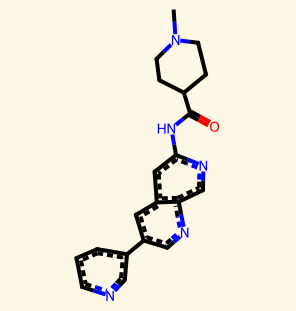 CN1CCC(C(=O)Nc2cc3cc(-c4cccnc4)cnc3cn2)CC1